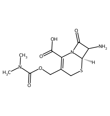 CN(C)C(=O)OCC1=C(C(=O)O)N2C(=O)C(N)[C@H]2SC1